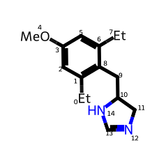 CCc1cc(OC)cc(CC)c1CC1CN=CN1